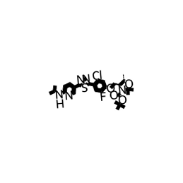 CC(C)Nc1ccc(-c2nnc(-c3cc(F)c(OC[C@H]4[C@H](C)OC(C)(C)N4C(=O)OC(C)(C)C)cc3Cl)s2)cn1